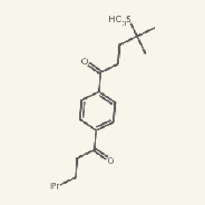 CC(C)CCC(=O)c1ccc(C(=O)CCC(C)(C)S(=O)(=O)O)cc1